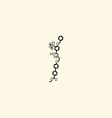 CCOC(=O)c1ccc(-c2ccc(OC[C@@H](C)NC[C@@H](O)c3ccc(OCc4ccccc4)c(NS(C)(=O)=O)c3)cc2)cc1